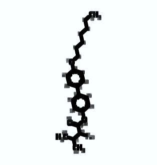 CCCCCCCOc1ccc(-c2ccc(OC(=O)C(F)C(C)C)cc2)cc1